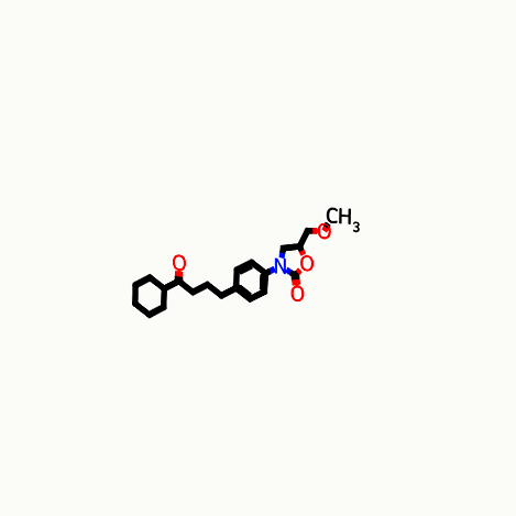 COCC1CN(c2ccc(CCCC(=O)C3CCCCC3)cc2)C(=O)O1